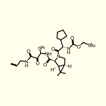 C=CCNC(=O)C(=O)C(CCC)NC(=O)[C@@H]1[C@H]2[C@@H](CN1C(=O)[C@@H](NC(=O)OCC(C)(C)C)C1CCCC1)C2(C)C